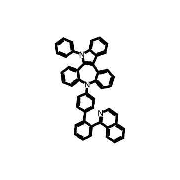 c1ccc(-n2c3c(c4ccccc42)-c2ccccc2N(c2ccc(-c4ccccc4-c4nccc5ccccc45)cc2)c2ccccc2-3)cc1